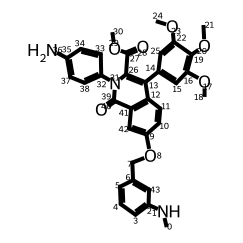 CNc1cccc(COc2ccc3c(-c4cc(OC)c(OC)c(OC)c4)c(C(=O)OC)n(-c4ccc(N)cc4)c(=O)c3c2)c1